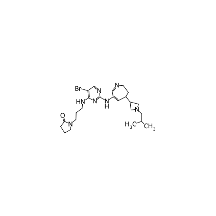 CC(C)CN1CC(C2C=C(Nc3ncc(Br)c(NCCCN4CCCC4=O)n3)C=NCC2)C1